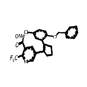 COC(=O)c1cc(C2=C(c3cc(Cl)ccc3OCc3ccccc3)CCC2)cnc1C(F)(F)F